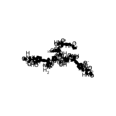 CCC(=O)NCC#Cc1cn([C@H]2C[C@H](OP(=O)(O)OC[C@H]3O[C@@H](n4cc(C#Cc5ccc(C(C)OC6CNC(=O)SC6=O)c([N+](=O)[O-])c5)c(=O)[nH]c4=O)C[C@@H]3OP(=O)(O)OC[C@H]3O[C@@H](n4cc(C#Cc5ccc(C(C)NC6CNC(=O)SC6=O)c([N+](=O)[O-])c5)c5c(N)ncnc54)C[C@@H]3O)[C@@H](COC)O2)c(=O)[nH]c1=O